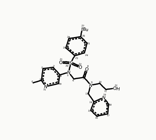 Cc1ccc(N(CC(=O)N(CCO)Cc2ccccn2)S(=O)(=O)c2ccc(C(C)(C)C)cc2)cn1